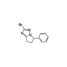 Brc1nc2n(n1)C(c1ccccc1)CC2